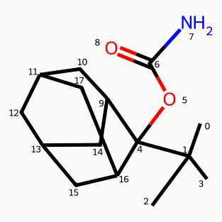 CC(C)(C)C1(OC(N)=O)C2CC3CC(C2)CC1C3